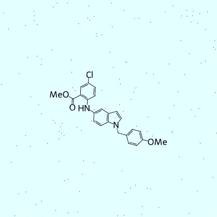 COC(=O)c1cc(Cl)ccc1Nc1ccc2c(ccn2Cc2ccc(OC)cc2)c1